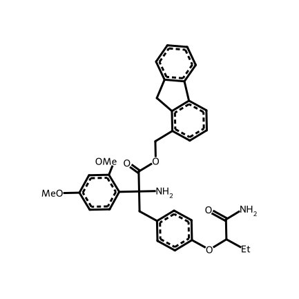 [CH2]CC(Oc1ccc(CC(N)(C(=O)OCc2cccc3c2Cc2ccccc2-3)c2ccc(OC)cc2OC)cc1)C(N)=O